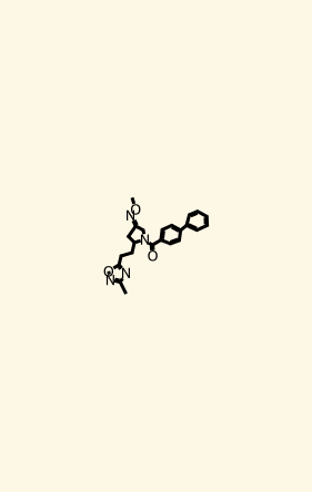 CON=C1CC(CCc2nc(C)no2)N(C(=O)c2ccc(-c3ccccc3)cc2)C1